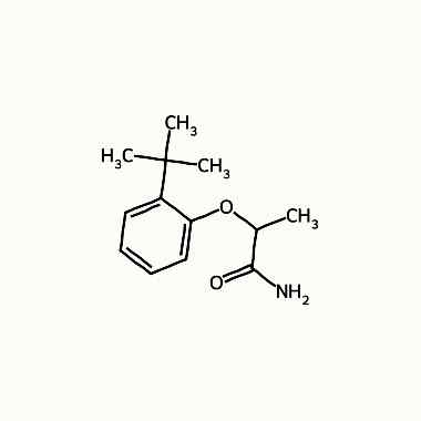 CC(Oc1ccccc1C(C)(C)C)C(N)=O